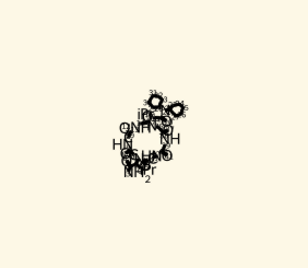 CC(C)C(C(N)=O)N1CC(=O)NCC(=O)NCC(=O)N(C(C(=O)N(C2CCCCC2)C2CCCCC2)C(C)C)CC(=O)NCC(=O)NCC1=O